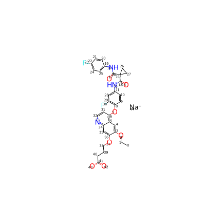 CCOc1cc2c(Oc3ccc(NC(=O)C4(C(=O)Nc5ccc(F)cc5)CC4)cc3F)ccnc2cc1OCCCC(=O)[O-].[Na+]